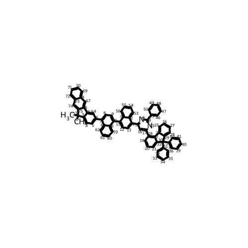 CC1(C)c2ccc(-c3ccc(-c4ccc(-c5cc(-c6cccc7c6-c6ccccc6C7(c6ccccc6)c6ccccc6)nc(-c6ccccc6)n5)c5ccccc45)c4ccccc34)cc2-c2cc3ccccc3cc21